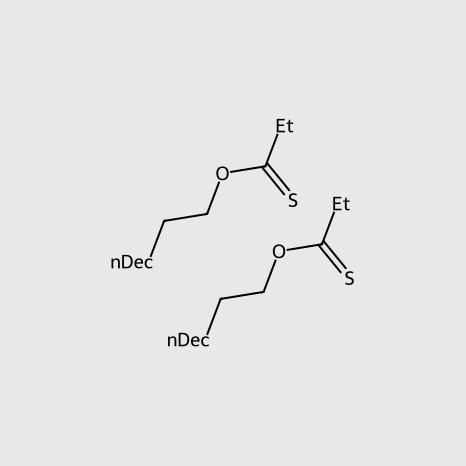 CCCCCCCCCCCCOC(=S)CC.CCCCCCCCCCCCOC(=S)CC